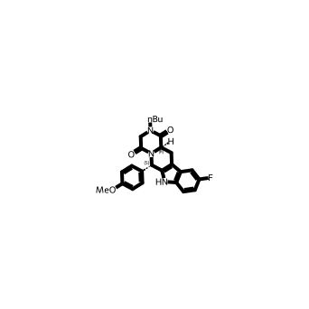 CCCCN1CC(=O)N2[C@@H](c3ccc(OC)cc3)c3[nH]c4ccc(F)cc4c3C[C@@H]2C1=O